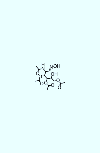 CC(=O)NC(/C=N/O)[C@@H](OC(C)=O)[C@H](OC(C)=O)C(O)COC(C)=O